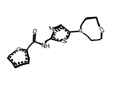 O=C(Nc1ncc(N2CCOCC2)s1)c1ccco1